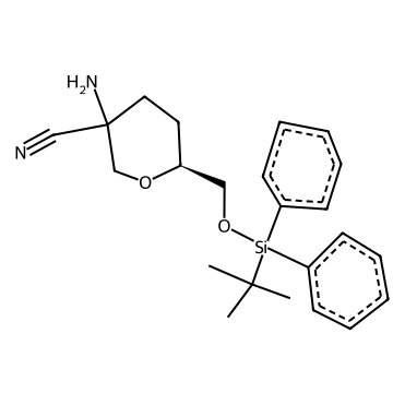 CC(C)(C)[Si](OC[C@@H]1CCC(N)(C#N)CO1)(c1ccccc1)c1ccccc1